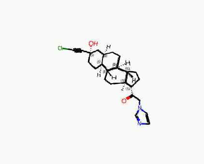 C[C@]12CC[C@H]3[C@@H](CC[C@@H]4C[C@](O)(C#CCl)CC[C@@H]43)[C@@H]1CC[C@@H]2C(=O)Cn1ccnc1